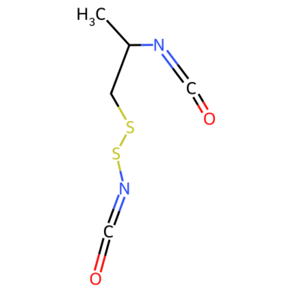 CC(CSSN=C=O)N=C=O